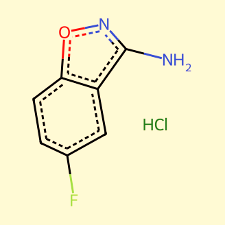 Cl.Nc1noc2ccc(F)cc12